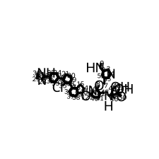 CNc1cncc(COc2nc(O[C@H]3CCc4c(-c5cccc(-c6ccc(C7=NCCN7)cc6)c5Cl)cccc43)ccc2CNC(C)(CO)C(=O)O)c1